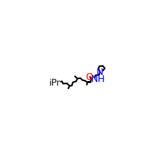 CC(=CC(=O)NCCN1CCCCC1)CCCC(C)CCCC(C)CCCC(C)C